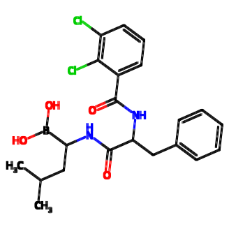 CC(C)CC(NC(=O)C(Cc1ccccc1)NC(=O)c1cccc(Cl)c1Cl)B(O)O